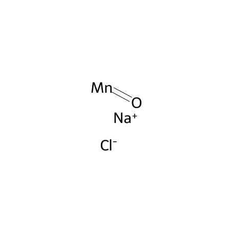 [Cl-].[Na+].[O]=[Mn]